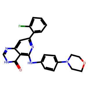 O=c1[nH]cnc2cc(-c3ccccc3F)nc(Nc3ccc(N4CCOCC4)cc3)c12